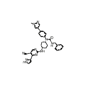 Cn1cc(-c2ccc(N(C(=O)NCc3ccccc3)[C@H]3CC[C@H](Nc4ncc(C#N)c(-c5cc[nH]n5)n4)CC3)cc2)cn1